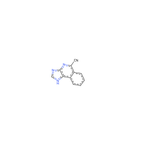 N#Cc1nc2nc[nH]c2c2ccccc12